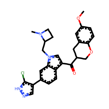 COc1ccc2c(c1)CC(C(=O)c1cn(CC3CCN3C)c3cc(-c4cn[nH]c4Cl)ccc13)CO2